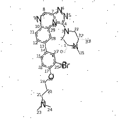 C[C@@H]1CN(c2nnc3cnc4ccc(-c5ccc(OCCCN(C)C)c(Br)c5)cc4n23)C[C@H](C)N1C